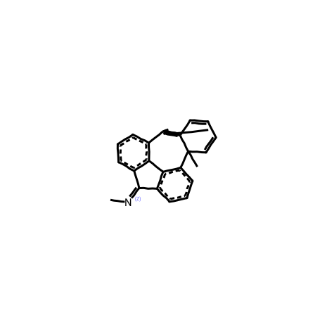 C/N=C1\c2cccc3c2-c2c1cccc2C1(C)C=CC=CC12C3=CC=CC2C